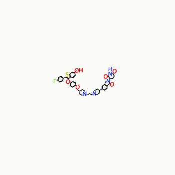 O=C1CCC(N2Cc3cc(C4CCN(CCCN5CCC(COc6ccc(Oc7c(-c8ccc(F)cc8)sc8cc(O)ccc78)cc6)CC5)CC4)ccc3C2=O)C(=O)N1